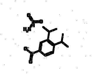 CC(C)c1ccc([N+](=O)[O-])cc1C(C)C.N[SH](=O)=O